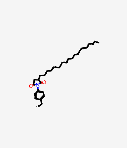 [CH2]Cc1ccc(N2C(=O)CC(CCCCCCCCCCCCCCCCCC)C2=O)cc1